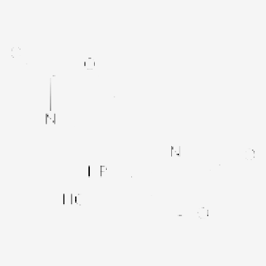 Cl.O=C1N=C(PC2=NC(=O)OC2)CO1